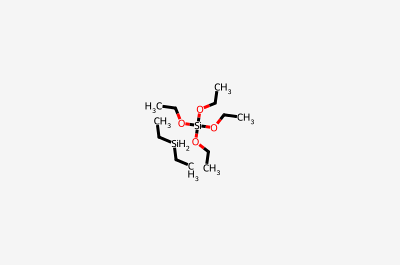 CCO[Si](OCC)(OCC)OCC.CC[SiH2]CC